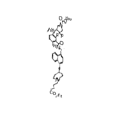 CCOC(=O)CCCCN1CCC(C#Cc2ccc([C@@H](C)NC(=O)c3cc(N[C@H]4CN(C(=O)OC(C)(C)C)CC4(F)F)ccc3C)c3ccccc23)CC1